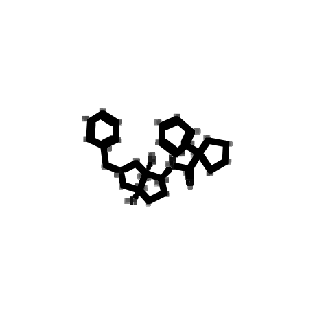 O=C(N[C@H]1CC[C@H]2CN(Cc3ccccc3)C[C@H]21)C1(c2ccccc2)CCCC1